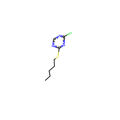 CCCCCSc1n[c]nc(Cl)n1